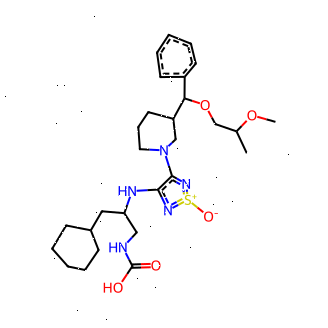 COC(C)COC(c1ccccc1)C1CCCN(c2n[s+]([O-])nc2NC(CNC(=O)O)CC2CCCCC2)C1